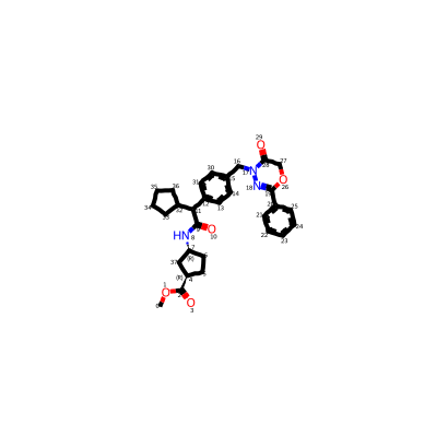 COC(=O)[C@@H]1CC[C@@H](NC(=O)C(c2ccc(CN3N=C(c4ccccc4)OCC3=O)cc2)C2CCCC2)C1